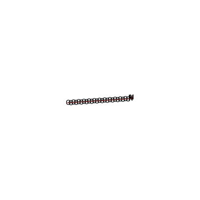 COCCOCCOCCOCCOCCOCCOCCOCCOCCOCCOCCOCCOCCOCCOCCOCCOCCOCCOCCOCCOCCOCCOCCOCCn1cc(C)nn1